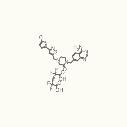 Nc1ncnc2cc(CN3CCN(Cc4cc(-c5ccc(Cl)s5)no4)CC3=O)ccc12.O=C(O)C(F)(F)F.O=C(O)C(F)(F)F